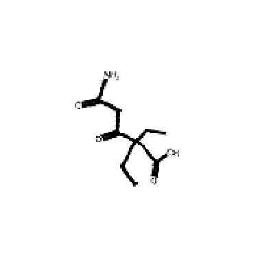 CCC(CC)(C(=O)O)C(=O)CC(N)=O